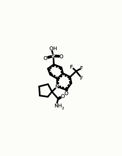 NC(=O)C1(n2c(=O)cc(C(F)(F)F)c3cc(S(=O)(=O)O)ccc32)CCCC1